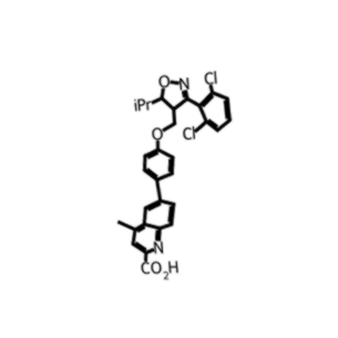 Cc1cc(C(=O)O)nc2ccc(-c3ccc(OCC4C(c5c(Cl)cccc5Cl)=NOC4C(C)C)cc3)cc12